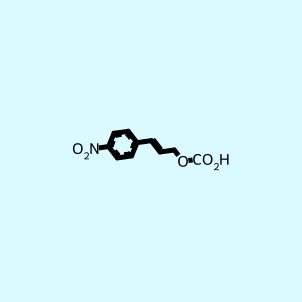 O=C(O)OCC=Cc1ccc([N+](=O)[O-])cc1